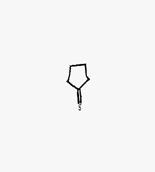 S=C1CCCC1